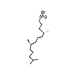 CC(C)CCC[C@@H](C)CCC[C@@H](C)CC[CH2][Mg][Br]